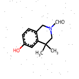 CC1(C)CN(C=O)Cc2ccc(O)cc21